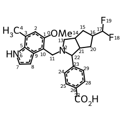 COc1cc(C)c2[nH]ccc2c1CN1CC2CC(C(F)F)CC2C1c1ccc(C(=O)O)cc1